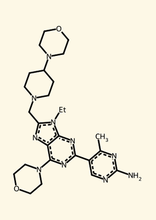 CCn1c(CN2CCC(N3CCOCC3)CC2)nc2c(N3CCOCC3)nc(-c3cnc(N)nc3C)nc21